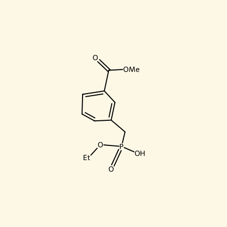 CCOP(=O)(O)Cc1cccc(C(=O)OC)c1